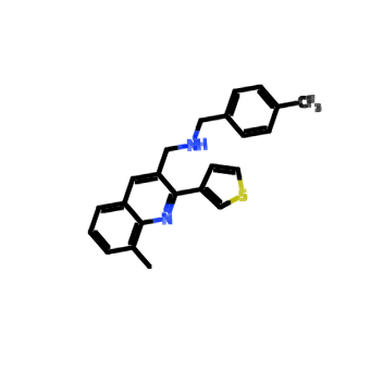 Cc1cccc2cc(CNCc3ccc(C(F)(F)F)cc3)c(-c3ccsc3)nc12